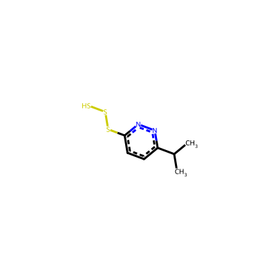 CC(C)c1ccc(SSS)nn1